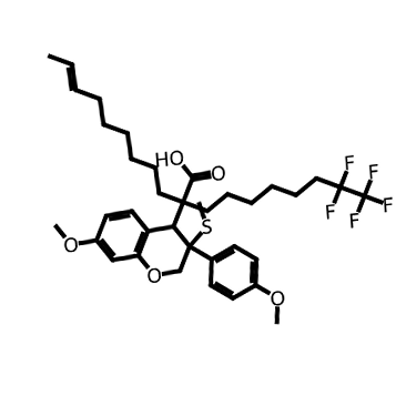 C/C=C/CCCCCCC(CCCCCCC(F)(F)C(F)(F)F)(C(=O)O)C1c2ccc(OC)cc2OCC1(SC)c1ccc(OC)cc1